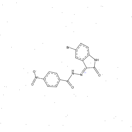 O=C1Nc2ccc(Br)cc2/C1=N\NC(=O)c1ccc([N+](=O)[O-])cc1